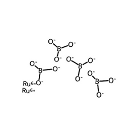 [O-]B([O-])[O-].[O-]B([O-])[O-].[O-]B([O-])[O-].[O-]B([O-])[O-].[Ru+6].[Ru+6]